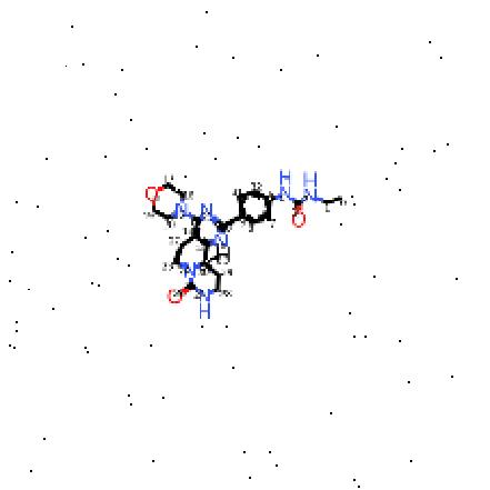 CCNC(=O)Nc1ccc(-c2nc3c(c(N4CCOCC4)n2)CCN2C(=O)NCC[C@@H]32)cc1